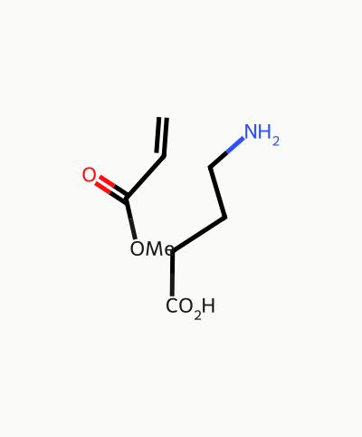 C=CC(=O)OC.NCCCC(=O)O